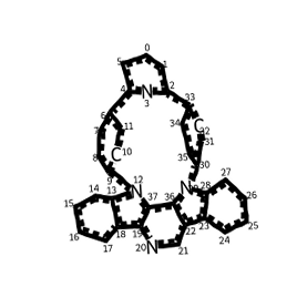 c1cc2nc(c1)c1ccc(cc1)n1c3ccccc3c3ncc4c5ccccc5n(c5ccc2cc5)c4c31